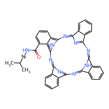 C[CH](C)[Ni][NH]C(=O)c1cccc2c3nc4nc(nc5[nH]c(nc6nc(nc([nH]3)c12)-c1ccccc1-6)c1ccccc51)-c1ccccc1-4